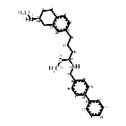 CN[C@H]1CCc2ccc(CCCC(NCc3ccc(-c4ccccc4)cc3)OC)cc2C1